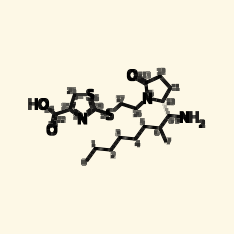 CCCCCCC(C)C(N)[C@H]1CCC(=O)N1CCSc1nc(C(=O)O)cs1